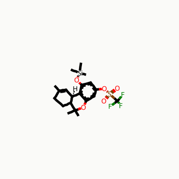 CC1=C[C@H]2c3c(cc(OS(=O)(=O)C(F)(F)F)cc3O[Si](C)(C)C)OC(C)(C)C2CC1